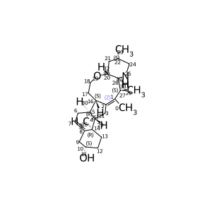 C/C1=C2\C[C@H]3[C@@H](CC=C4C[C@@H](O)CC[C@@]43C)[C@@H]2CCO[C@@H]2C[C@H](C)CN[C@H]2[C@H]1C